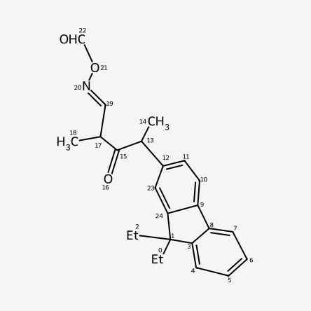 CCC1(CC)c2ccccc2-c2ccc(C(C)C(=O)C(C)/C=N/OC=O)cc21